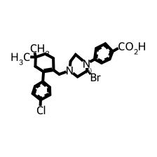 CC1(C)CCC(CN2CCN(c3ccc(C(=O)O)cc3)[C@@H](Br)C2)=C(c2ccc(Cl)cc2)C1